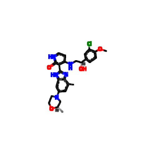 COc1ccc([C@H](O)CNc2cc[nH]c(=O)c2-c2nc3c(C)cc(N4CCO[C@@H](C)C4)cc3[nH]2)cc1Cl